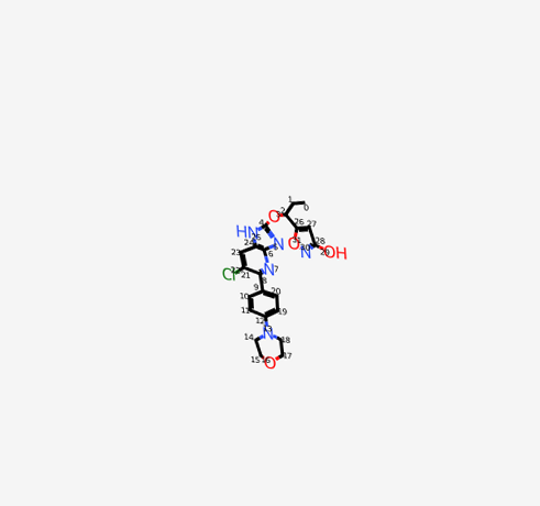 CCC(Oc1nc2nc(-c3ccc(N4CCOCC4)cc3)c(Cl)cc2[nH]1)c1cc(O)no1